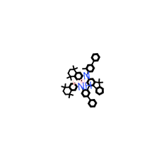 Cc1cc(-c2ccccc2)ccc1N1c2cc3c(cc2Bc2c1cc1c(c2-c2cc(-c4ccccc4)ccc2Nc2ccc4c(c2)C(C)(C)CCC4(C)C)-c2ccccc2C1(C)C)C(C)(C)CCC3(C)C